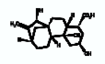 C=C1[C@@H]2CC[C@H]3[C@]4(C)C[C@H](O)C[C@@H](C(=O)O)[C@H]4CC[C@]3(C2)[C@H]1O